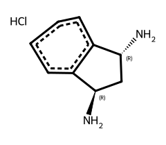 Cl.N[C@@H]1C[C@@H](N)c2ccccc21